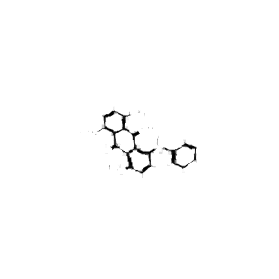 O=C1c2c(O)ccc([N+](=O)[O-])c2C(=O)c2c(O)ccc(NC3=CCCC=C3)c21